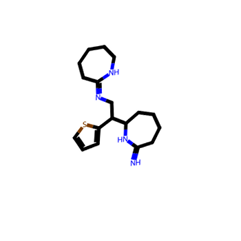 N=C1CCCCC(C(CN=C2CCCCCN2)c2cccs2)N1